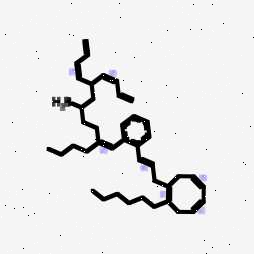 BC(CC/C(=C\c1ccccc1/C=C/C/C1=C(\CCCCCC)C/C=C\C=C/C1)CCCC)CC(/C=C\C=C)/C=C\C=C